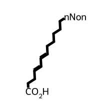 CCCCCCCCCCCCCC/C=C/C=C/CCC(=O)O